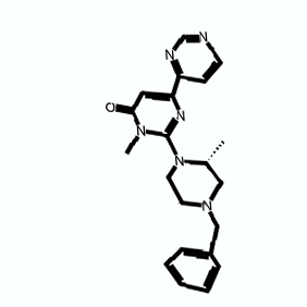 C[C@@H]1CN(Cc2ccccc2)CCN1c1nc(-c2ccncn2)cc(=O)n1C